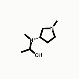 CC(O)N(C)[C@H]1CCN(C)C1